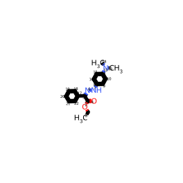 CCOC(=O)/C(=N\Nc1ccc(N(C)C)cc1)c1ccccc1